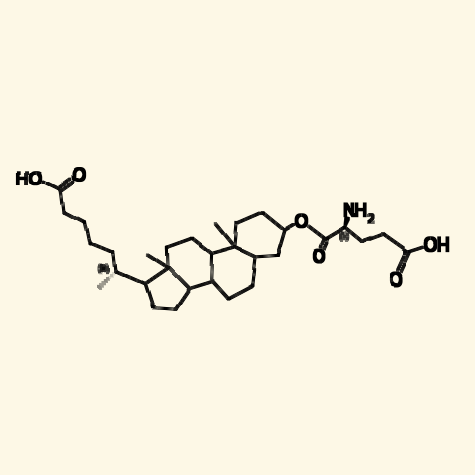 C[C@H](CCCCC(=O)O)C1CCC2C3CCC4CC(OC(=O)[C@@H](N)CCC(=O)O)CCC4(C)C3CCC21C